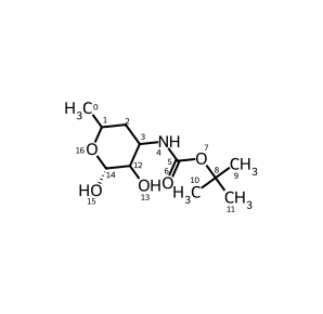 CC1CC(NC(=O)OC(C)(C)C)C(O)[C@H](O)O1